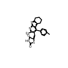 CCc1nc2sc3c(c2c(-c2ccc(C)cc2)c1/C=C1/SC(=O)NC1=O)CCCC3